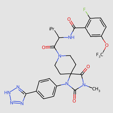 CC(C)C(NC(=O)c1cc(OC(F)(F)F)ccc1F)C(=O)N1CCC2(CC1)C(=O)N(C)C(=O)N2c1ccc(-c2nn[nH]n2)cc1